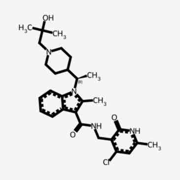 Cc1cc(Cl)c(CNC(=O)c2c(C)n([C@H](C)C3CCN(CC(C)(C)O)CC3)c3ccccc23)c(=O)[nH]1